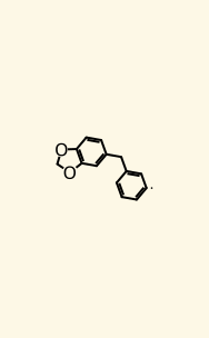 [c]1cccc(Cc2ccc3c(c2)OCO3)c1